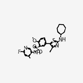 COc1ccc(-c2sc(NC3CCCCCC3)nc2C)cc1S(=O)(=O)Nc1cnc(F)cc1C